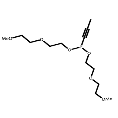 CC#CP(OCCOCCOC)OCCOCCOC